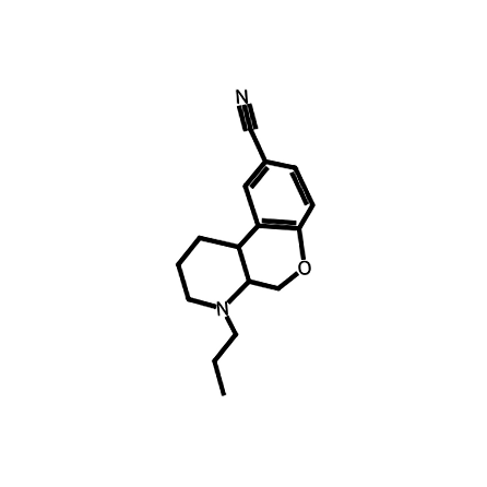 CCCN1CCCC2c3cc(C#N)ccc3OCC21